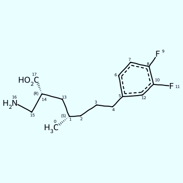 C[C@@H](CCCc1ccc(F)c(F)c1)C[C@H](CN)C(=O)O